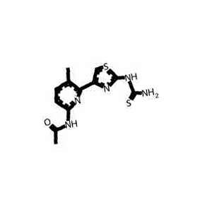 CC(=O)Nc1ccc(C)c(-c2csc(NC(N)=S)n2)n1